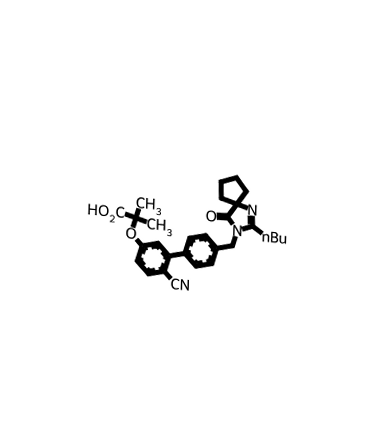 CCCCC1=NC2(CCCC2)C(=O)N1Cc1ccc(-c2cc(OC(C)(C)C(=O)O)ccc2C#N)cc1